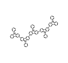 c1ccc(-n2c3ccccc3c3cc(-c4ccc5c(c4)c4cc(-c6ccc7c(c6)c6ccc(-c8ccc9c%10cc(-c%11ccc%12c(c%11)c%11ccccc%11n%12-c%11ccccc%11)ccc%10n(-c%10ccccc%10)c9c8)cc6n7-c6ccccc6)ccc4n5-c4ccccc4)ccc32)cc1